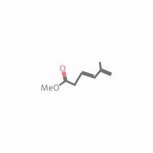 C=C(C)C=CCC(=O)OC